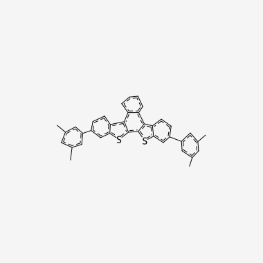 Cc1cc(C)cc(-c2ccc3c(c2)sc2c4sc5cc(-c6cc(C)cc(C)c6)ccc5c4c4ccccc4c32)c1